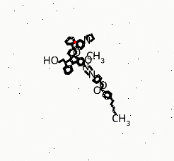 CCCCCCc1ccc(C(=O)Oc2ccc(N3CCN(c4cc5c6c(c7c(c5cc4OC)OC(c4ccccc4)(c4ccc(N5CCCC5)cc4)C=C7)C(CCO)c4ccccc4-6)CC3)cc2)cc1